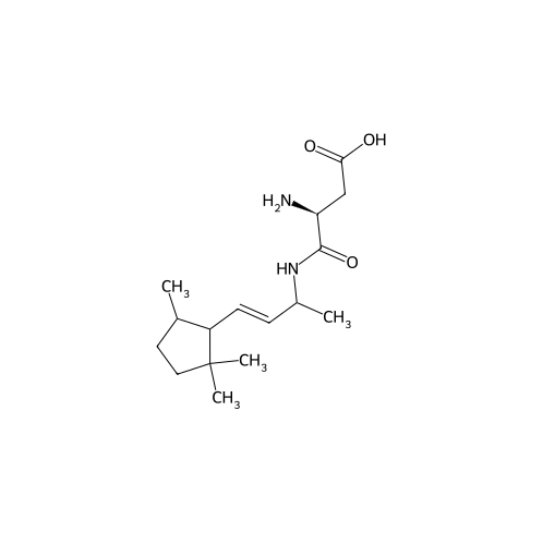 CC(C=CC1C(C)CCC1(C)C)NC(=O)[C@@H](N)CC(=O)O